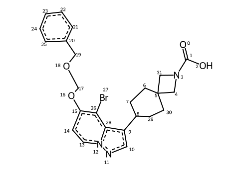 O=C(O)N1CC2(CCC(c3cnn4ccc(OCOCc5ccccc5)c(Br)c34)CC2)C1